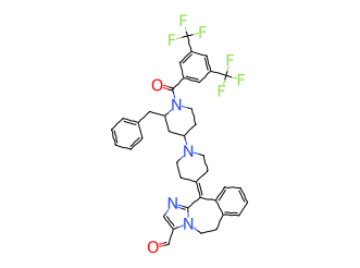 O=Cc1cnc2n1CCc1ccccc1C2=C1CCN(C2CCN(C(=O)c3cc(C(F)(F)F)cc(C(F)(F)F)c3)C(Cc3ccccc3)C2)CC1